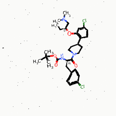 CC[C@@H](CN(C)C)Oc1cc(Cl)ccc1C1CCN(C(=O)[C@@H](Cc2ccc(Cl)cc2)NC(=O)OC(C)(C)C)CC1